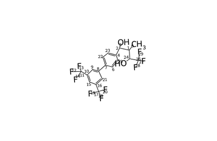 CC(C(O)c1ccc(-c2cc(C(F)(F)F)cc(C(F)(F)F)c2)cc1)C(O)C(F)(F)F